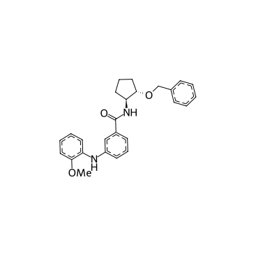 COc1ccccc1Nc1cccc(C(=O)N[C@H]2CCC[C@@H]2OCc2ccccc2)c1